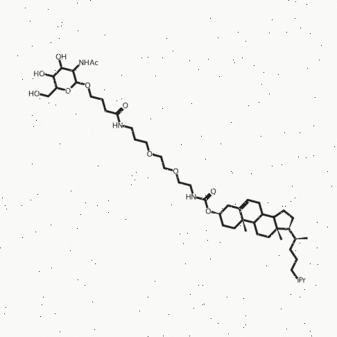 CC(=O)NC1C(OCCCC(=O)NCCCOCCOCCNC(=O)O[C@@H]2CC[C@]3(C)C(=CCC4C3CC[C@]3(C)C4CC[C@H]3[C@@H](C)CCCC(C)C)C2)OC(CO)C(O)C1O